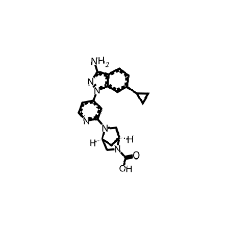 Nc1nn(-c2ccnc(N3C[C@@H]4C[C@H]3CN4C(=O)O)c2)c2cc(C3CC3)ccc12